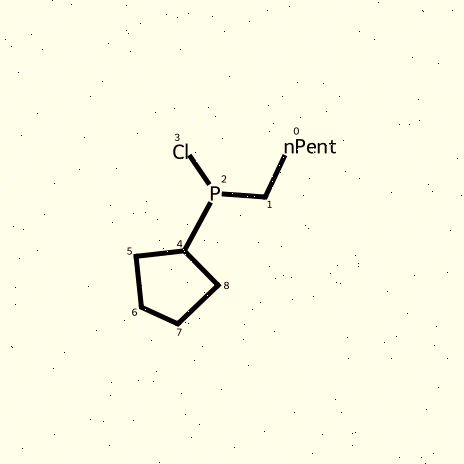 CCCCCCP(Cl)C1CCCC1